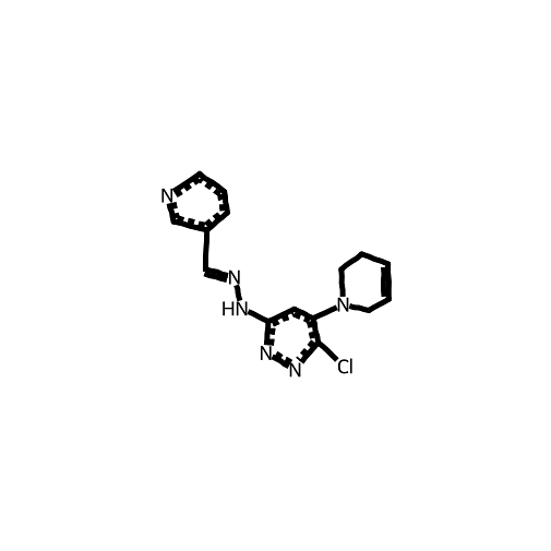 Clc1nnc(N/N=C/c2cccnc2)cc1N1CC=CCC1